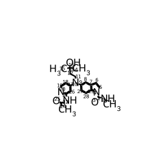 CNC(=O)n1ccc2cc(N(CCC(C)(C)O)c3ccnc(NC(C)=O)c3)ccc21